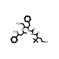 CC(CC(N)c1ccccc1)OC(CN)C(Cc1ccccc1)OC(=O)NC(=O)C(CCO)C(C)(C)C